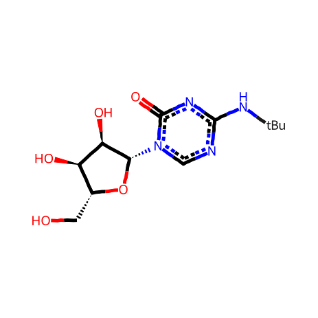 CC(C)(C)Nc1ncn([C@@H]2O[C@H](CO)[C@@H](O)[C@H]2O)c(=O)n1